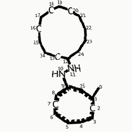 Cc1cccccccc(NNC2CCCCCCCCCCCC2)c1